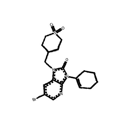 O=c1n(CC2CCS(=O)(=O)CC2)c2cc(Br)cnc2n1C1=CCCCC1